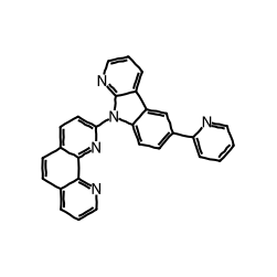 c1ccc(-c2ccc3c(c2)c2cccnc2n3-c2ccc3ccc4cccnc4c3n2)nc1